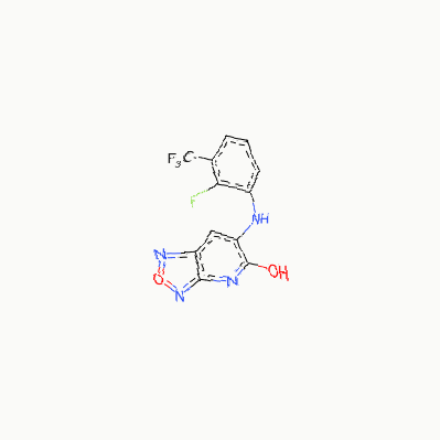 Oc1nc2nonc2cc1Nc1cccc(C(F)(F)F)c1F